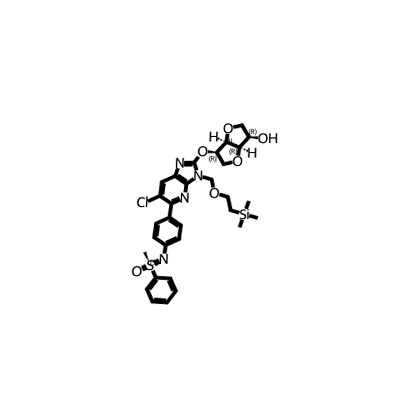 C[Si](C)(C)CCOCn1c(O[C@@H]2CO[C@H]3[C@@H]2OC[C@H]3O)nc2cc(Cl)c(-c3ccc(N=[S@@](C)(=O)c4ccccc4)cc3)nc21